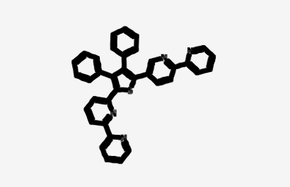 c1ccc(-c2c(-c3ccc(-c4ccccn4)nc3)sc(-c3cccc(-c4ccccn4)n3)c2-c2ccccc2)cc1